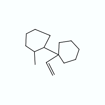 C=CC1(C2CCCCC2C)CCCCC1